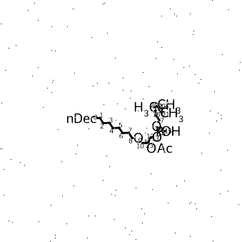 CCCCCCCCCCCCCCCCCCOCC(COP(O)OCC[N+](C)(C)C)OC(C)=O